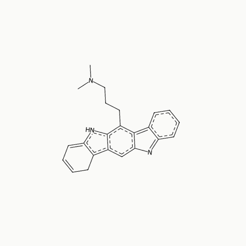 CN(C)CCCc1c2c(cc3c4c([nH]c13)=CC=CC4)N=c1ccccc1=2